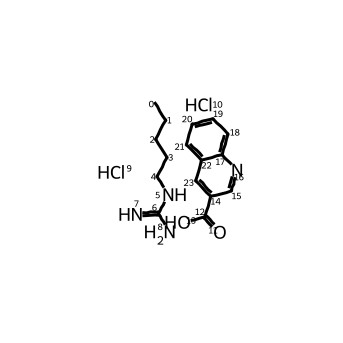 CCCCCNC(=N)N.Cl.Cl.O=C(O)c1cnc2ccccc2c1